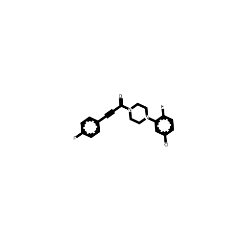 O=C(C#Cc1ccc(F)cc1)N1CCN(c2cc(Cl)ccc2F)CC1